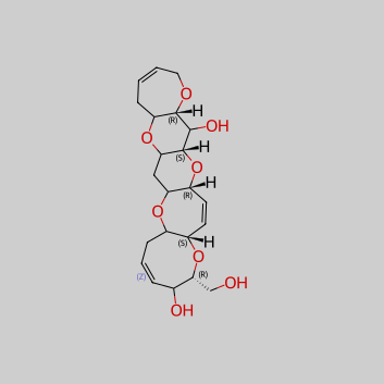 OC[C@H]1O[C@H]2C=C[C@H]3O[C@@H]4C(CC3OC2C/C=C\C1O)OC1CC=CCO[C@@H]1C4O